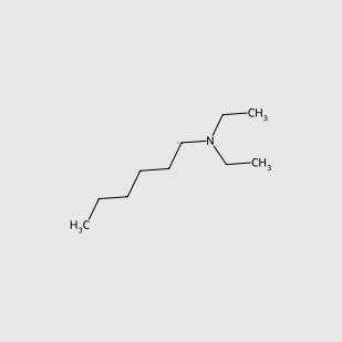 CCCCC[CH]N(CC)CC